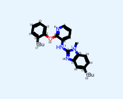 Cn1c(Nc2cccnc2Oc2ccccc2C(C)(C)C)nc2cc(C(C)(C)C)ccc21